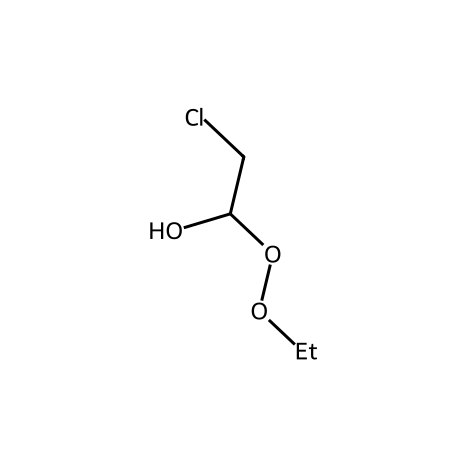 CCOOC(O)CCl